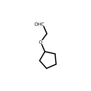 O=CCOC1CCCC1